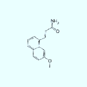 COc1ccc2cccc(C=CC(N)=O)c2c1